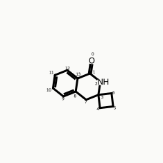 O=C1NC2(CCC2)Cc2ccccc21